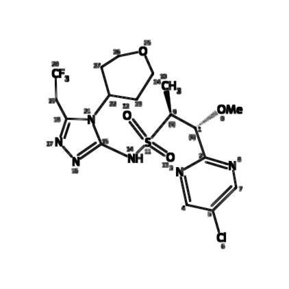 CO[C@H](c1ncc(Cl)cn1)[C@H](C)S(=O)(=O)Nc1nnc(CC(F)(F)F)n1C1CCOCC1